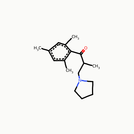 Cc1cc(C)c(C(=O)C(C)CN2CCCC2)c(C)c1